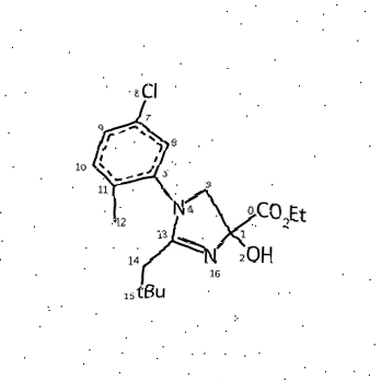 CCOC(=O)C1(O)CN(c2cc(Cl)ccc2C)C(CC(C)(C)C)=N1